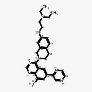 CCN(CC)CCNc1ccc2c(c1)CN(c1ncnc3c(C)cc(-c4cnccn4)cc13)CC2